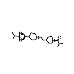 CC(C)C(=O)N1CCC(CCN2CCC(c3cnc(C(C)C)nc3)CC2)CC1